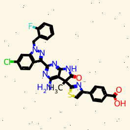 CC1(c2nc(-c3ccc(C(=O)O)cc3)cs2)C(=O)Nc2nc(-c3nn(Cc4ccccc4F)c4cc(Cl)ccc34)nc(N)c21